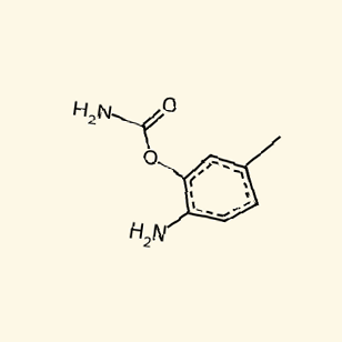 Cc1ccc(N)c(OC(N)=O)c1